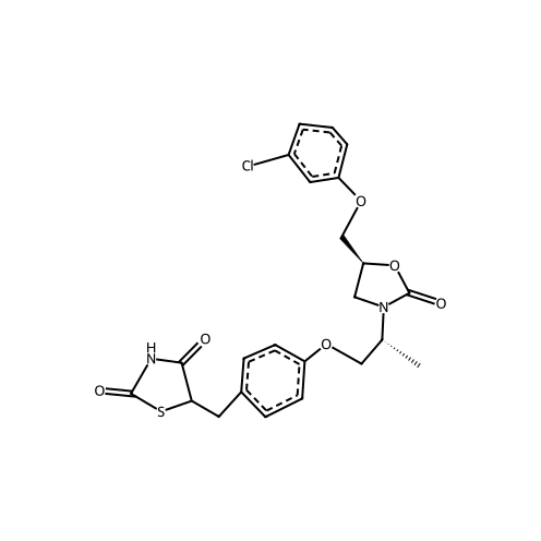 C[C@H](COc1ccc(CC2SC(=O)NC2=O)cc1)N1C[C@@H](COc2cccc(Cl)c2)OC1=O